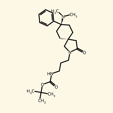 CN(C)[C@]1(c2ccccc2)CC[C@]2(CC1)CC(=O)N(CCCNC(=O)OC(C)(C)C)C2